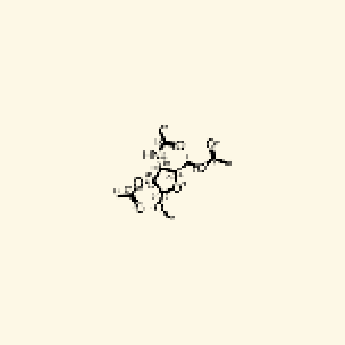 CO[C@@H]1O[C@H](COC(C)=O)[C@@H](NC(C)=O)[C@H]1OC(C)=O